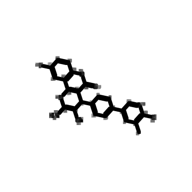 Cc1cc(-c2ccc(C3C(C#N)=C(N)Oc4c3c(=O)oc3ccc(F)cc43)cc2)cnc1Cl